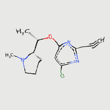 C#Cc1nc(Cl)cc(O[C@@H](C)[C@@H]2CCCN2C)n1